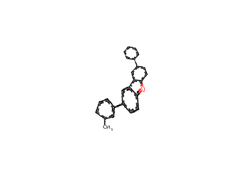 Cc1cccc(-c2ccc3oc4ccc(-c5ccccc5)cc4c3c2)c1